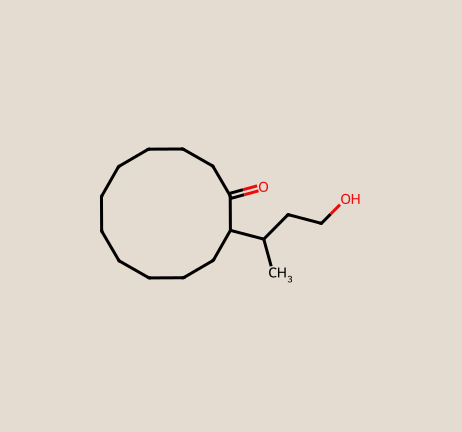 CC(CCO)C1CCCCCCCCCCC1=O